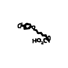 O=C(O)C1(CCCCCCOc2ccc(Cl)cc2)CO1